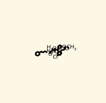 COC(=O)CCc1ccc(Cl)cc1C(c1nc(C(=O)NCCCCC2CCCCC2)co1)N1CCCC1